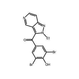 CCn1nc2ccncc2c1C(=O)c1cc(Br)c(O)c(Br)c1